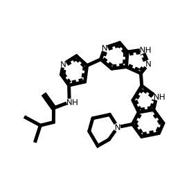 C=C(CC(C)C)Nc1cncc(-c2cc3c(-c4cc5c(N6CCCCC6)cccc5[nH]4)n[nH]c3cn2)c1